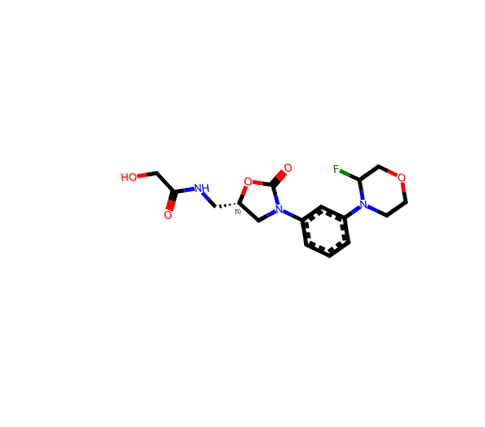 O=C(CO)NC[C@H]1CN(c2cccc(N3CCOCC3F)c2)C(=O)O1